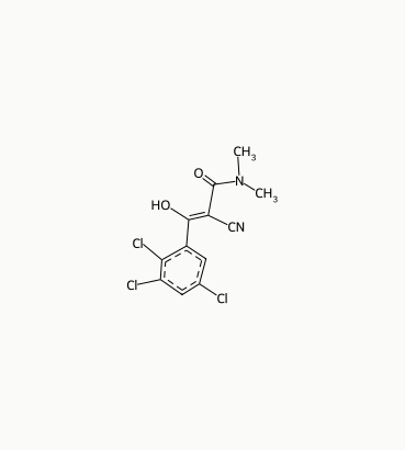 CN(C)C(=O)/C(C#N)=C(\O)c1cc(Cl)cc(Cl)c1Cl